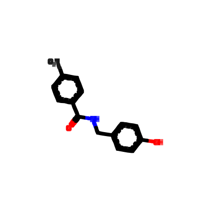 O=C(NCc1ccc(O)cc1)c1ccc([N+](=O)[O-])cc1